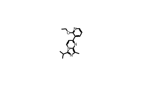 CCOc1ncccc1-c1ccn2c(C(C)C)nc(C)c2n1